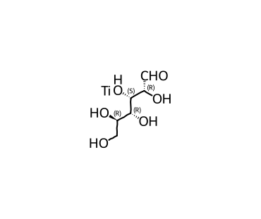 O=C[C@H](O)[C@@H](O)[C@H](O)[C@H](O)CO.[Ti]